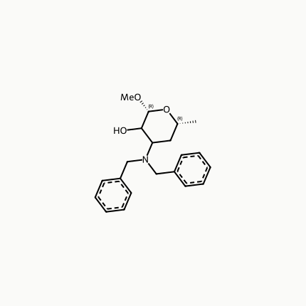 CO[C@@H]1O[C@H](C)CC(N(Cc2ccccc2)Cc2ccccc2)C1O